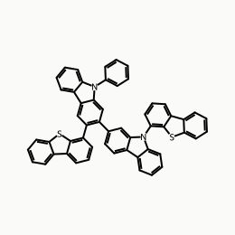 c1ccc(-n2c3ccccc3c3cc(-c4cccc5c4sc4ccccc45)c(-c4ccc5c6ccccc6n(-c6cccc7c6sc6ccccc67)c5c4)cc32)cc1